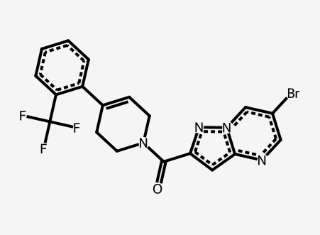 O=C(c1cc2ncc(Br)cn2n1)N1CC=C(c2ccccc2C(F)(F)F)CC1